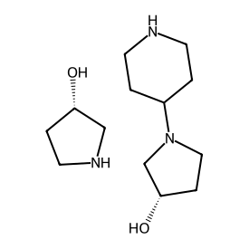 O[C@H]1CCN(C2CCNCC2)C1.O[C@H]1CCNC1